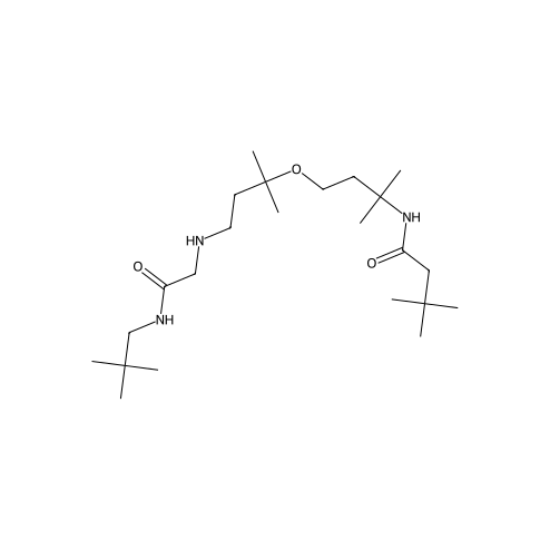 CC(C)(C)CNC(=O)CNCCC(C)(C)OCCC(C)(C)NC(=O)CC(C)(C)C